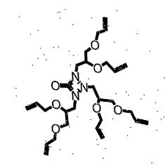 C=CCOCC(Cn1c(=O)n(CC(COCC=C)OCC=C)n1CC(COCC=C)OCC=C)OCC=C